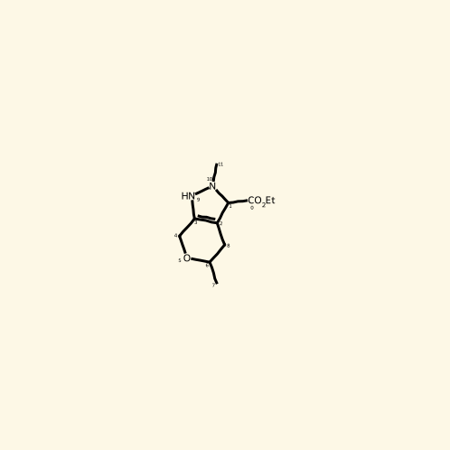 CCOC(=O)C1C2=C(COC(C)C2)NN1C